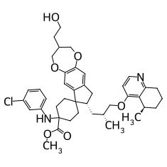 COC(=O)C1(Nc2cccc(Cl)c2)CCC2(CC1)c1cc3c(cc1C[C@@H]2C[C@@H](C)COc1ccnc2c1[C@H](C)CCC2)OCC(CCO)CO3